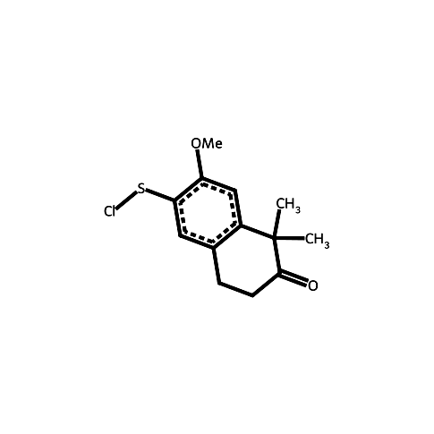 COc1cc2c(cc1SCl)CCC(=O)C2(C)C